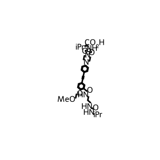 COCCOc1ccc(C#Cc2ccc(N3CCN(S(=O)(=O)N[C@@H](C(=O)O)C(C)C)CC3)cc2)cc1C(=O)NCCCNC(=O)NC(C)C